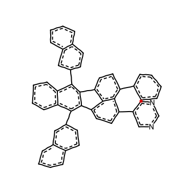 c1ccc(-c2ccc3c4c(ccc(-c5cncnc5)c24)-c2c-3c(-c3ccc4ccccc4c3)c3ccccc3c2-c2ccc3ccccc3c2)cc1